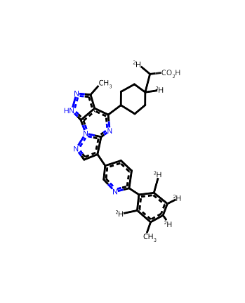 [2H]c1c([2H])c(C)c([2H])c(-c2ccc(-c3cnn4c3nc(C3CCC([2H])(C([2H])C(=O)O)CC3)c3c(C)n[nH]c34)cn2)c1[2H]